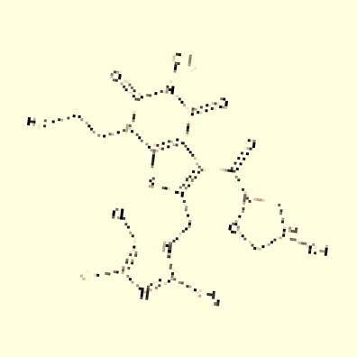 CCCn1c(=O)n(C)c(=O)c2c(C(=O)N3C[C@H](O)CO3)c(Cn3c(C)nc(Cl)c3Cl)sc21